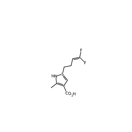 CC1=C(C(=O)O)C=S(CCC=C(F)F)N1